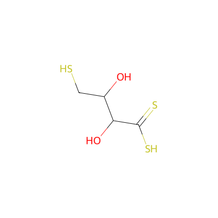 OC(CS)C(O)C(=S)S